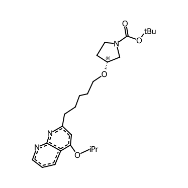 CC(C)Oc1cc(CCCCCO[C@@H]2CCN(C(=O)OC(C)(C)C)C2)nc2ncccc12